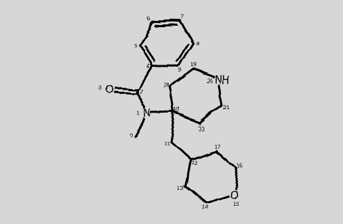 CN(C(=O)c1ccccc1)C1(CC2CCOCC2)CCNCC1